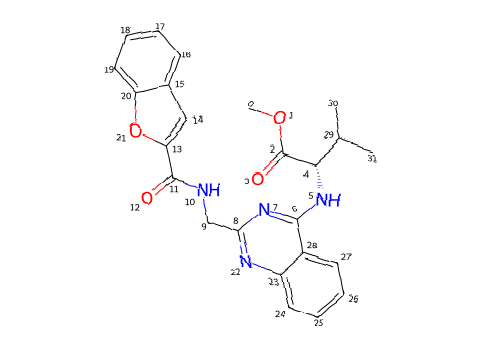 COC(=O)[C@@H](Nc1nc(CNC(=O)c2cc3ccccc3o2)nc2ccccc12)C(C)C